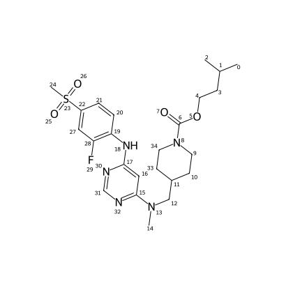 CC(C)CCOC(=O)N1CCC(CN(C)c2cc(Nc3ccc(S(C)(=O)=O)cc3F)ncn2)CC1